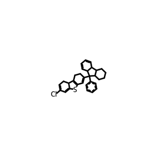 ClC1=CCC2C(=C1)SC1=C2CCC(C2(c3ccccc3)C3C=CC=CC3C3CCCCC32)=C1